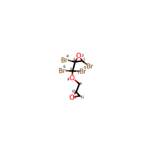 BrC1OC1(Br)C(Br)(Br)OCC1CO1